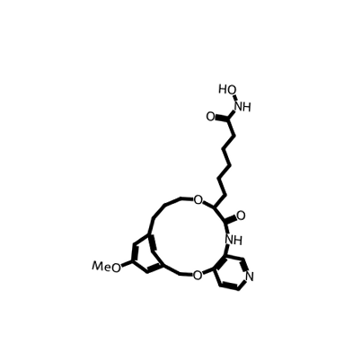 COc1cc2cc(c1)COc1ccncc1NC(=O)C(CCCCCC(=O)NO)OCCC2